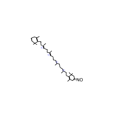 CC1=C(CC/C(C)=C/CC/C(C)=C/CC/C=C(\C)CC/C=C(\C)CCC2=C(C)C[C@@H](N=O)CC2(C)C)C(C)(C)CCC1